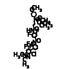 COC1CCC(N(CC=CC(=O)Nc2c(F)cc(C(=O)n3ccc4c(-c5c(C(F)(F)F)cc6c(nc(C)n6C)c5Cl)cccc43)cc2F)C(=O)OC(C)(C)C)CC1